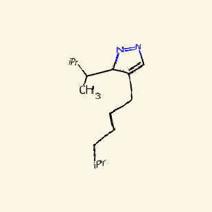 CC(C)CCCCC1=CN=NC1C(C)C(C)C